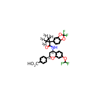 [2H]C1([2H])C([2H])([2H])C1(C(=O)N[C@@H]1C[C@H](c2ccc(C(=O)O)cc2)Oc2cc(OC(F)F)ccc21)c1ccc2c(c1)OC(F)(F)O2